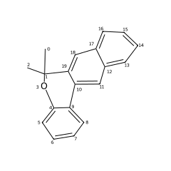 CC1(C)Oc2ccccc2-c2cc3ccccc3cc21